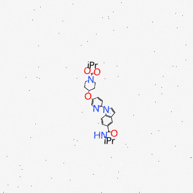 CC(C)NC(=O)c1ccc2c(ccn2-c2ccc(OC3CCN(C(=O)OC(C)C)CC3)cn2)c1